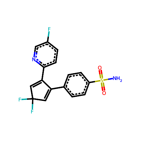 NS(=O)(=O)c1ccc(C2=CC(F)(F)C=C2c2ccc(F)cn2)cc1